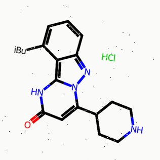 CCC(C)c1cccc2nn3c(C4CCNCC4)cc(=O)[nH]c3c12.Cl